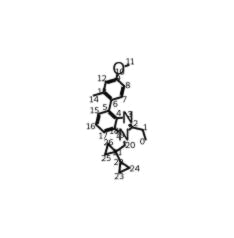 CCc1nc2c(-c3ccc(OC)cc3C)cccc2n1CC1(C2CC2)CC1